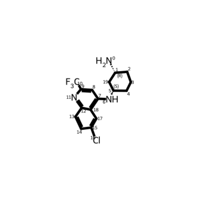 N[C@@H]1CCC[C@H](Nc2cc(C(F)(F)F)nc3ccc(Cl)cc23)C1